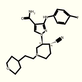 N#C[C@@H]1CCN(CCC2CCOCC2)C[C@H]1n1cc(C(N)=O)c(Nc2ccc(F)cc2)n1